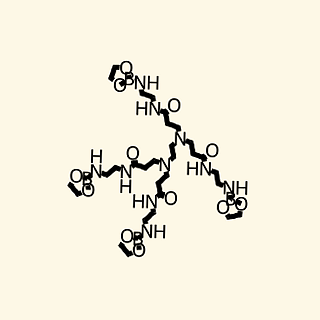 O=C(CCN(CCC(=O)NCCNB1OCCO1)CCN(CCC(=O)NCCNB1OCCO1)CCC(=O)NCCNB1OCCO1)NCCNB1OCCO1